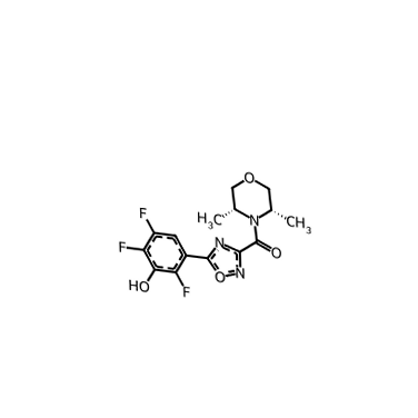 C[C@@H]1COC[C@H](C)N1C(=O)c1noc(-c2cc(F)c(F)c(O)c2F)n1